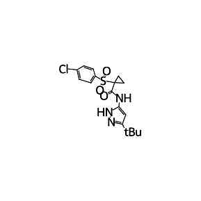 CC(C)(C)c1cc(NC(=O)C2(S(=O)(=O)c3ccc(Cl)cc3)CC2)[nH]n1